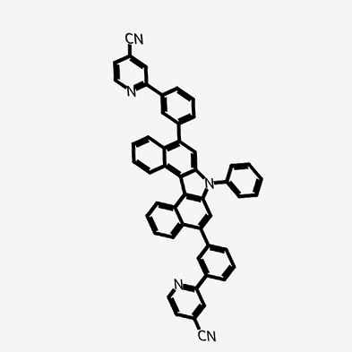 N#Cc1ccnc(-c2cccc(-c3cc4c(c5ccccc35)c3c5ccccc5c(-c5cccc(-c6cc(C#N)ccn6)c5)cc3n4-c3ccccc3)c2)c1